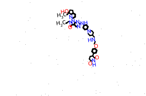 C=CCn1c(=O)c2cnc(Nc3ccc(N4CCC(CNCCOc5ccc(C6CCC(=O)NC6=O)cc5)CC4)cc3)nc2n1-c1ccc2c(n1)[C@@](O)(CC)CC2